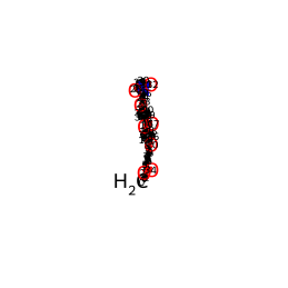 C=COC(=O)CCCCCOc1ccc(OC(=O)c2ccc(OCCCN3C(=O)C=CC3=O)cc2)cc1